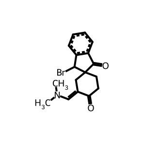 CN(C)C=C1CC2(CCC1=O)C(=O)c1ccccc1C2Br